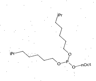 CCCCCCCCOP(OCCCCCC(C)C)OCCCCCC(C)C